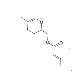 C/C=C/C(=O)OCC1CCC(C)=CO1